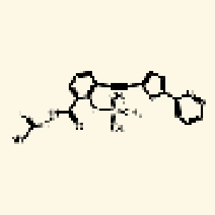 CCCC(=O)ONC(=O)c1cccc(C#Cc2ccc(-c3ccccn3)s2)c1O[Si](C)(C)C(C)(C)C